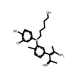 CC(=N)/C(=C(/C)N)c1ccc(C)c(N(CCCCCO)c2ccc(C#N)c(Cl)c2)c1